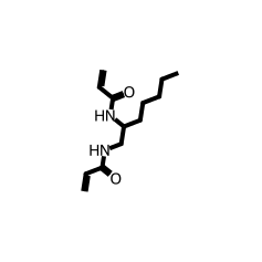 C=CC(=O)NCC(CCCCC)NC(=O)C=C